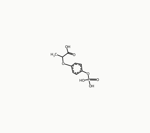 CC(Oc1ccc(OP(=O)(O)O)cc1)C(=O)O